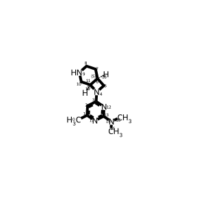 Cc1cc(N2C[C@@H]3CCNC[C@@H]32)nc(N(C)C)n1